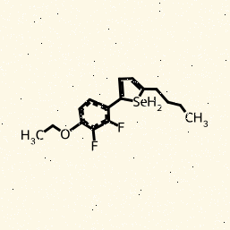 CCCCC1=CC=C(c2ccc(OCC)c(F)c2F)[SeH2]1